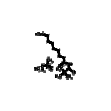 CCCCCCCCCCCCCCCCCC(=O)NC(CC)[N+](C)(C)C.CN(C)C.Cl